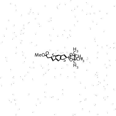 COC(=O)Cc1cc2cc3sc(B4OC(C)(C)C(C)(C)O4)cc3cc2s1